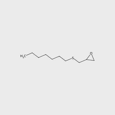 CCCCCCCSCC1CO1